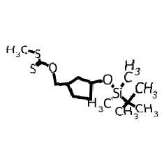 CSC(=S)OCC1CCC(O[Si](C)(C)C(C)(C)C)C1